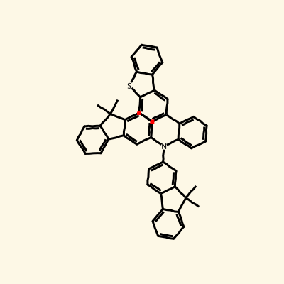 CC1(C)c2ccccc2-c2cc(N(c3ccc4c(c3)C(C)(C)c3ccccc3-4)c3ccccc3-c3ccc4sc5ccccc5c4c3)ccc21